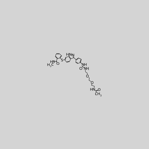 CNC(=O)c1ccccc1Sc1ccc2c(-c3ccc(NC(=O)NCCOCCOCCNC(C)=O)cc3)n[nH]c2c1